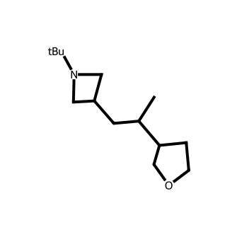 CC(CC1CN(C(C)(C)C)C1)C1CCOC1